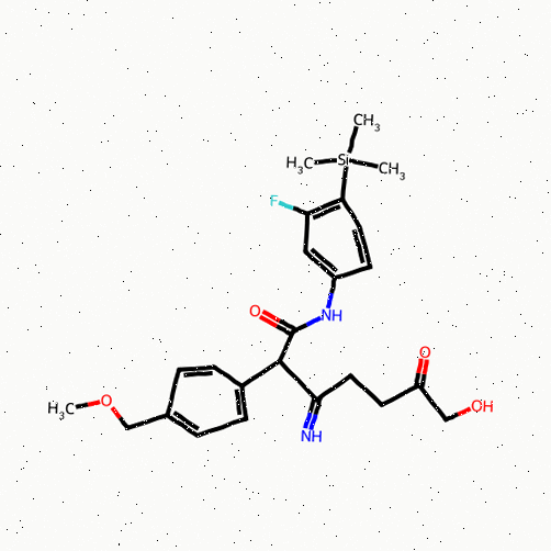 COCc1ccc(C(C(=N)CCC(=O)CO)C(=O)Nc2ccc([Si](C)(C)C)c(F)c2)cc1